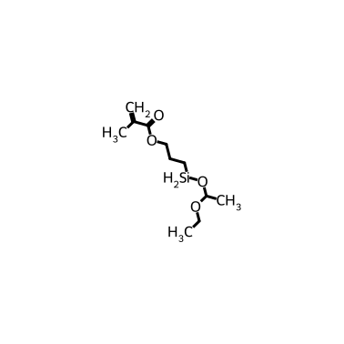 C=C(C)C(=O)OCCC[SiH2]OC(C)OCC